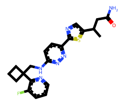 CC(CC(N)=O)c1cnc(-c2ccc(NCC3(c4ncccc4F)CCC3)nn2)s1